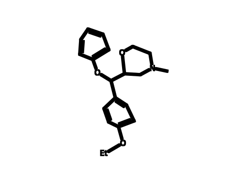 CCOc1ccc(C(Oc2ccccc2)C2CN(C)CCO2)cc1